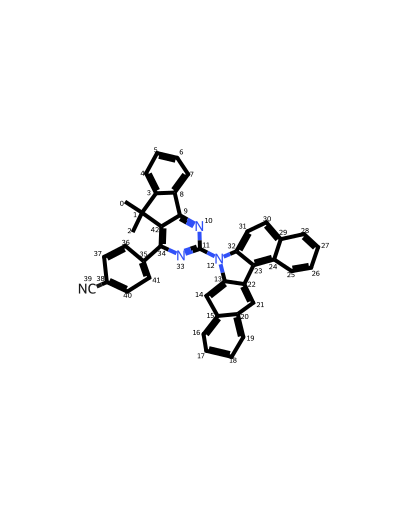 CC1(C)c2ccccc2-c2nc(-n3c4cc5ccccc5cc4c4c5ccccc5ccc43)nc(-c3ccc(C#N)cc3)c21